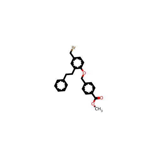 COC(=O)c1ccc(COc2ccc(CBr)cc2CCc2ccccc2)cc1